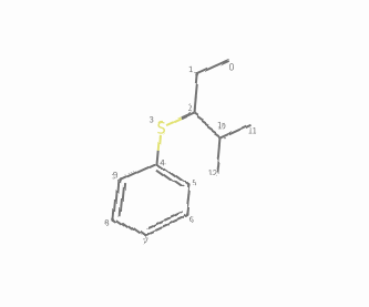 CCC(Sc1ccccc1)[C](C)C